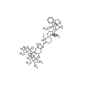 C=C1/C(=C\C=C2/CCC[C@]3(C)[C@@H]([C@H](C)C(O)C(CC4(C5(CCCC)OCCO5)CC4)S(=O)(=O)c4ccccc4)CC[C@@H]23)C[C@@H](O[Si](C)(C)C(C)(C)C)C[C@@H]1O[Si](C)(C)C(C)(C)C